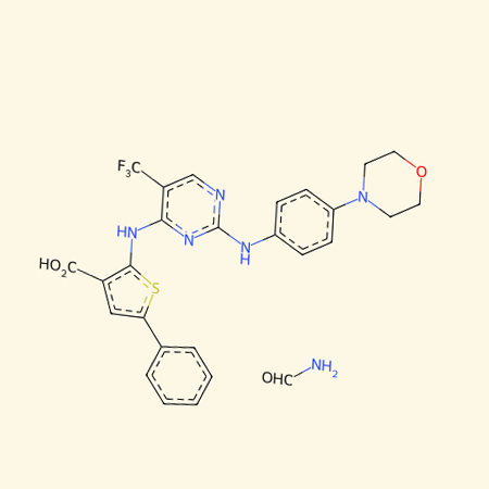 NC=O.O=C(O)c1cc(-c2ccccc2)sc1Nc1nc(Nc2ccc(N3CCOCC3)cc2)ncc1C(F)(F)F